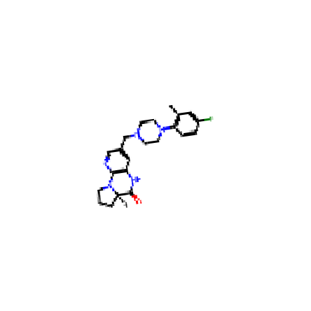 Cc1cc(F)ccc1N1CCN(Cc2cnc3c(c2)NC(=O)[C@@H]2CCCN32)CC1